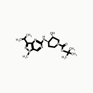 CC(C)c1nn(C)c2cnc(N[C@@H]3CCN(C(=O)OC(C)(C)C)C[C@H]3O)nc12